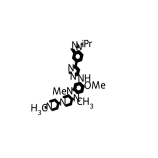 CNc1cc(Nc2cc(-c3ccc4c(cnn4C(C)C)c3)ncn2)c(OC)cc1N(C)C1CCN(C2CCN(C)CC2)CC1